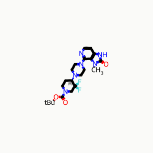 Cn1c(=O)[nH]c2ccnc(N3CCN([C@@H]4CCN(C(=O)OC(C)(C)C)CC4(F)F)CC3)c21